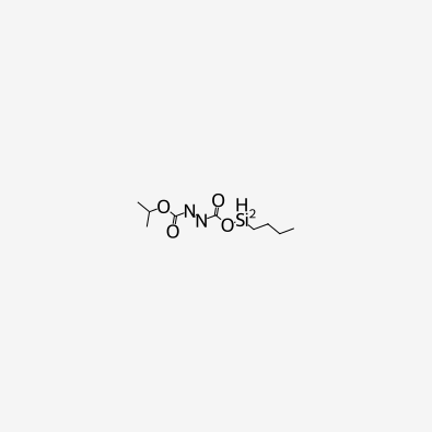 CCCC[SiH2]OC(=O)N=NC(=O)OC(C)C